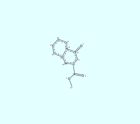 COC(=O)c1cc(=O)n2ccccc2n1